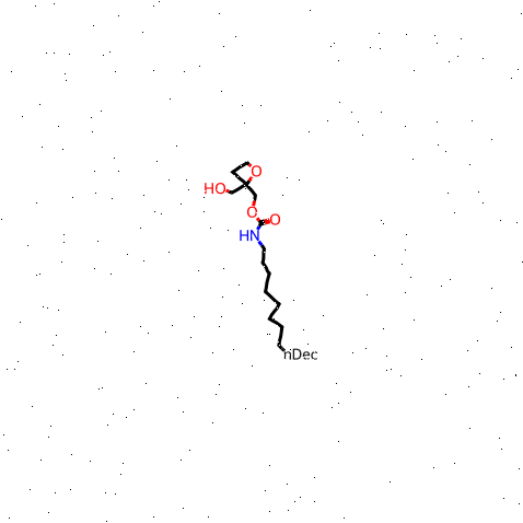 CCCCCCCCCCCCCCCCCCNC(=O)OCC1(CO)CCO1